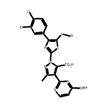 COc1ccnc(-c2c(C)nn(-c3nc(-c4ccc(Cl)c(Cl)c4)c(SC(C)C)s3)c2C(=O)O)n1